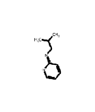 CC(C)CN=C1C=CC=C[N]1